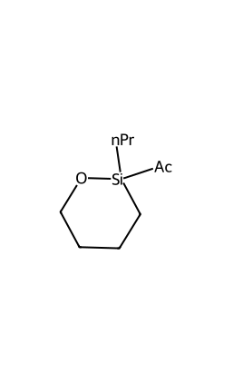 CCC[Si]1(C(C)=O)CCCCO1